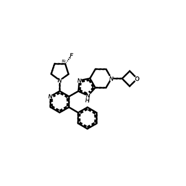 F[C@H]1CCN(c2nccc(-c3ccccc3)c2-c2nc3c([nH]2)CN(C2COC2)CC3)C1